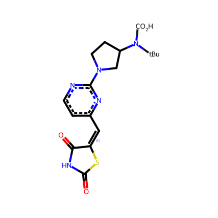 CC(C)(C)N(C(=O)O)C1CCN(c2nccc(/C=C3/SC(=O)NC3=O)n2)C1